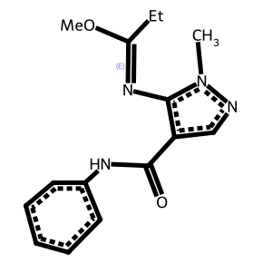 CC/C(=N\c1c(C(=O)Nc2ccccc2)cnn1C)OC